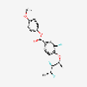 CCCCCCCCCCOc1ccc(OC(=O)c2ccc(O[C@@H](C)[C@H](F)[C@@H](F)C(C)C)c(F)c2)cc1